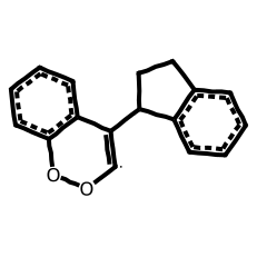 [C]1=C(C2CCc3ccccc32)c2ccccc2OO1